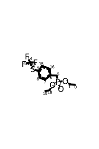 CCOP(=O)(Cc1ccc(SC(F)(F)F)cc1)OCC